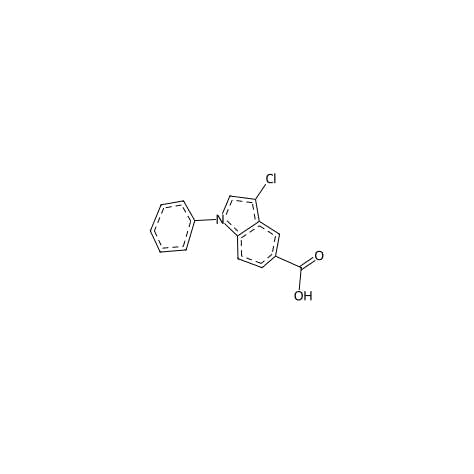 O=C(O)c1ccc2c(c1)c(Cl)cn2-c1ccccc1